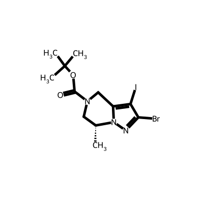 C[C@@H]1CN(C(=O)OC(C)(C)C)Cc2c(I)c(Br)nn21